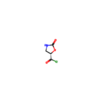 O=C1NC[C@@H](C(=O)Cl)O1